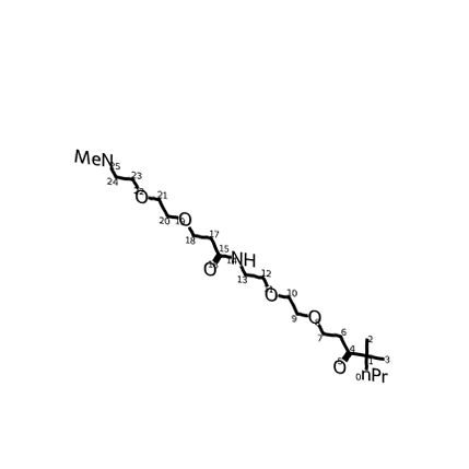 CCCC(C)(C)C(=O)CCOCCOCCNC(=O)CCOCCOCCNC